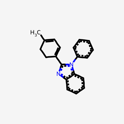 CC1=CC=C(c2nc3ccccc3n2-c2ccccc2)CC1